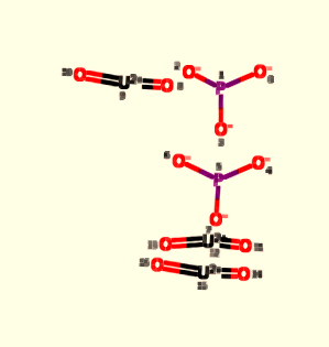 [O-]P([O-])[O-].[O-]P([O-])[O-].[O]=[U+2]=[O].[O]=[U+2]=[O].[O]=[U+2]=[O]